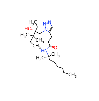 CCCCCCC(C)(C)NC(=O)CCc1cnnn1C[C@](O)(CC)C(C)(C)CC